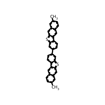 Cc1ccc2cc3c(cc2c1)sc1cc(-c2ccc4c(c2)sc2cc5cc(C)ccc5cc24)ccc13